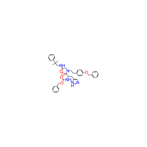 CC(C)(CNC(=O)CN(CCc1ccc(OCc2ccccc2)cc1)C(=O)C(Cc1cnc[nH]1)NC(=O)OCc1ccccc1)c1ccccc1